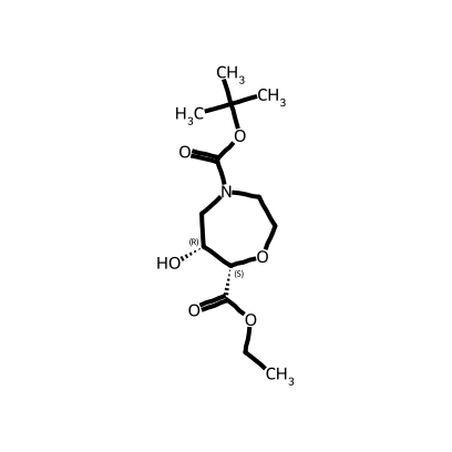 CCOC(=O)[C@H]1OCCN(C(=O)OC(C)(C)C)C[C@H]1O